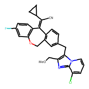 COCc1nc2c(Cl)cccn2c1Cc1ccc2c(c1)COc1cc(F)ccc1/C2=C(/C#N)C1CC1